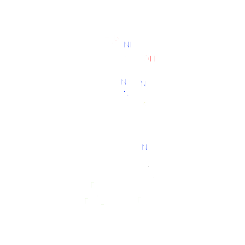 BN/C(C)=C(\O)c1nnc(SCCCN2CC[C@@]3(CC3c3ccc(C(F)(F)F)cc3F)C2)n1C